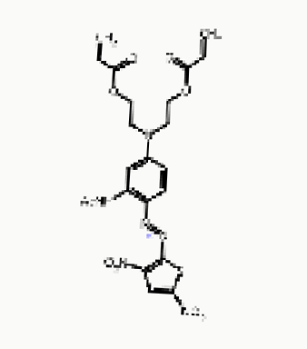 C=CC(=O)OCCN(CCOC(=O)C=C)c1ccc(/N=N/c2sc([N+](=O)[O-])cc2[N+](=O)[O-])c(NC(C)=O)c1